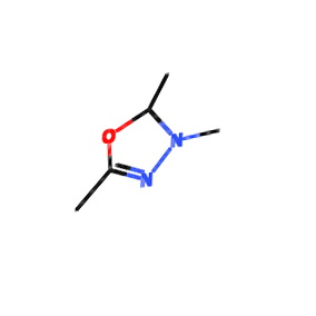 CC1=NN(C)C(C)O1